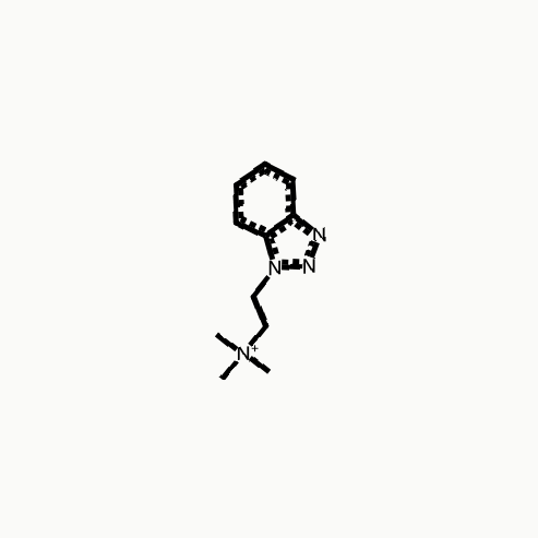 C[N+](C)(C)CCn1nnc2ccccc21